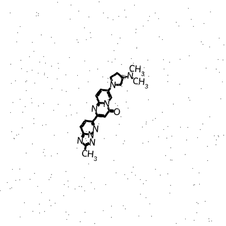 Cc1nc2ccc(-c3cc(=O)n4cc(N5CC[C@@H](N(C)C)C5)ccc4n3)nn2n1